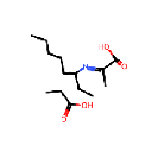 CCC(=O)O.CCCCCC(CC)N=C(C)C(=O)O